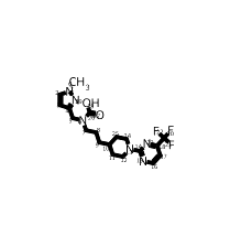 Cn1ccc(CN(CCCC2CCN(c3nccc(C(F)(F)F)n3)CC2)C(=O)O)n1